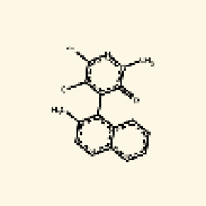 [2H]c1nn(C)c(=O)c(-c2c(C)ccc3ccccc23)c1Cl